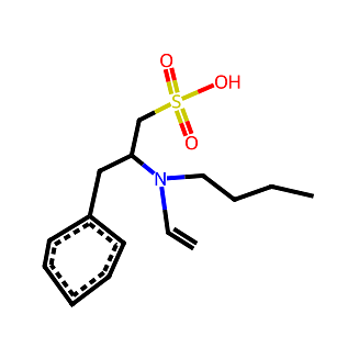 C=CN(CCCC)C(Cc1ccccc1)CS(=O)(=O)O